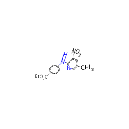 CCOC(=O)c1ccc(Nc2ncc(C)cc2[N+](=O)[O-])cc1